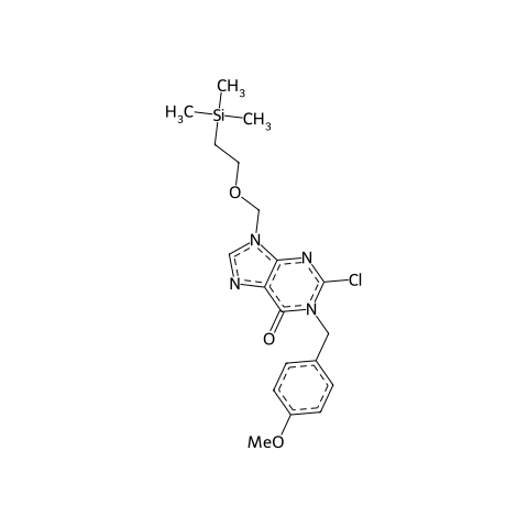 COc1ccc(Cn2c(Cl)nc3c(ncn3COCC[Si](C)(C)C)c2=O)cc1